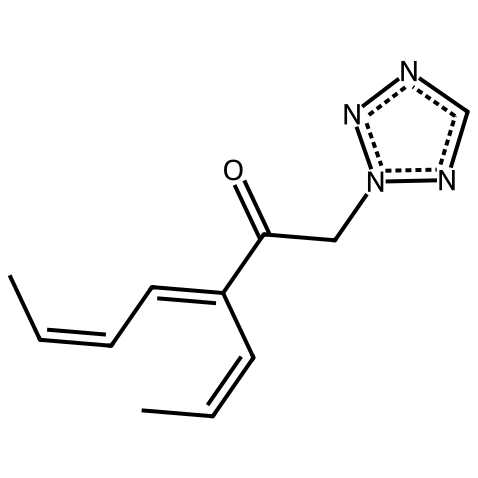 C\C=C/C=C(\C=C/C)C(=O)Cn1ncnn1